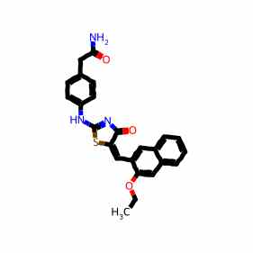 CCOc1cc2ccccc2cc1C=C1SC(Nc2ccc(CC(N)=O)cc2)=NC1=O